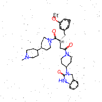 CCOc1cccc(C[C@H](CC(=O)N2CCC(N3Cc4ccccc4NC3=O)CC2)C(=O)N2CCC(C3CCN(C)CC3)CC2)c1